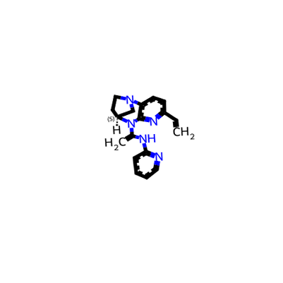 C=Cc1ccc2c(n1)N(C(=C)Nc1ccccn1)[C@H]1CCN2C1